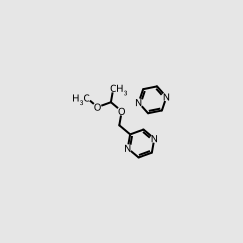 COC(C)OCc1cnccn1.c1cnccn1